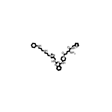 N[C@@H](CCC(=O)N1CCC(Nc2nc(NCc3cn(CCCNCCCNC4CCCCC4)nn3)nc3ccccc23)CC1)C(=O)NCc1cccs1